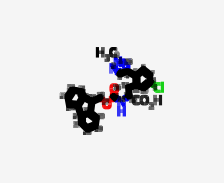 Cn1ncc(-c2ccc(Cl)cc2C[C@H](NC(=O)OCC2c3ccccc3-c3ccccc32)C(=O)O)n1